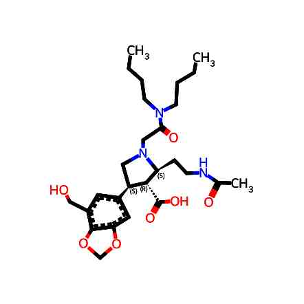 CCCCN(CCCC)C(=O)CN1C[C@H](c2cc(CO)c3c(c2)OCO3)[C@@H](C(=O)O)[C@@H]1CCNC(C)=O